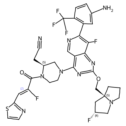 N#CC[C@H]1CN(c2nc(OC[C@@]34CCCN3C[C@H](F)C4)nc3c(F)c(-c4cc(N)ccc4C(F)(F)F)ncc23)CCN1C(=O)/C(F)=C/c1nccs1